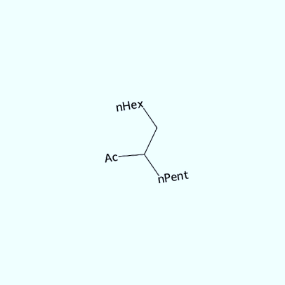 CCCCCCCC(CCCCC)C(C)=O